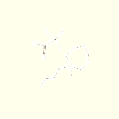 CCCC[N+]1(C)CCCCCC1.O=C([O-])C(F)(F)F